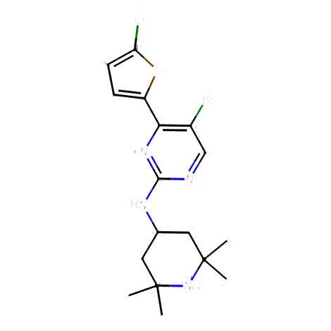 CC1(C)CC(Nc2ncc(Br)c(-c3ccc(Cl)s3)n2)CC(C)(C)N1